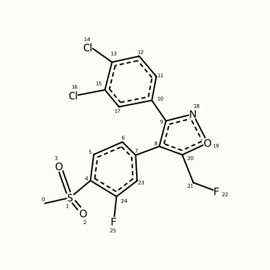 CS(=O)(=O)c1ccc(-c2c(-c3ccc(Cl)c(Cl)c3)noc2CF)cc1F